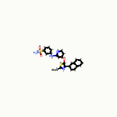 CNc1nc(-c2ccc3ccccc3c2)c(Oc2ccnc(Nc3cccc(S(N)(=O)=O)c3)c2)s1